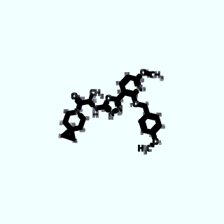 COc1ccc(COc2nc(OC)ccc2-c2nnc(N[C@H](C)C(=O)N3CCC4(CC3)CC4)o2)cc1